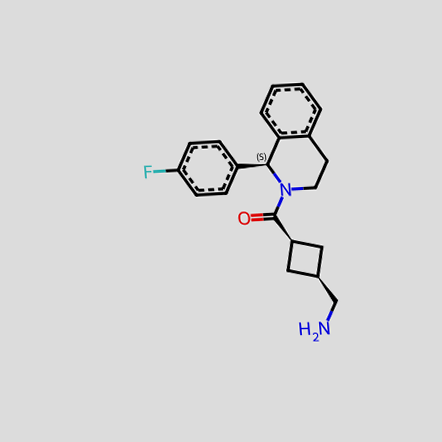 NC[C@H]1C[C@@H](C(=O)N2CCc3ccccc3[C@@H]2c2ccc(F)cc2)C1